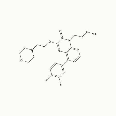 CCOCCn1c(=O)c(OCCN2CCOCC2)nc2c(-c3ccc(F)c(F)c3)ccnc21